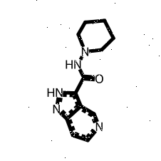 O=C(NN1CCCCC1)c1[nH]nc2ccncc12